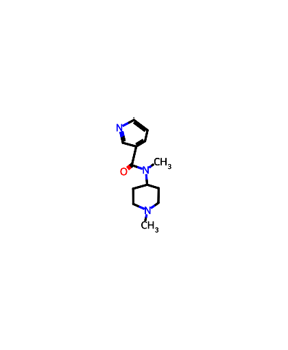 CN1CCC(N(C)C(=O)c2cc[c]nc2)CC1